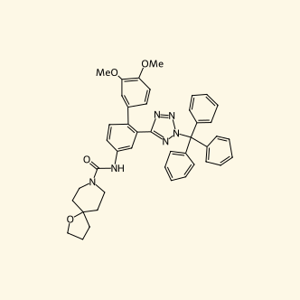 COc1ccc(-c2ccc(NC(=O)N3CCC4(CCCO4)CC3)cc2-c2nnn(C(c3ccccc3)(c3ccccc3)c3ccccc3)n2)cc1OC